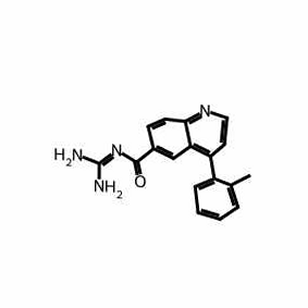 Cc1ccccc1-c1ccnc2ccc(C(=O)N=C(N)N)cc12